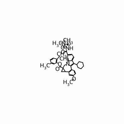 COc1ccc2c(c1)C1CC1(C(=O)Oc1cc(C)ccc1C(C)C)Cn1c-2c(C2CCCCC2)c2ccc(C(=O)NS(=O)(=O)N(C)C)cc21